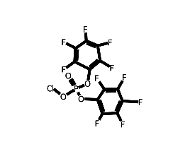 O=P(OCl)(Oc1c(F)c(F)c(F)c(F)c1F)Oc1c(F)c(F)c(F)c(F)c1F